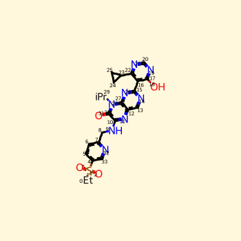 CCS(=O)(=O)c1ccc(CNc2nc3cnc(-c4c(O)ncnc4C4CC4)nc3n(C(C)C)c2=O)nc1